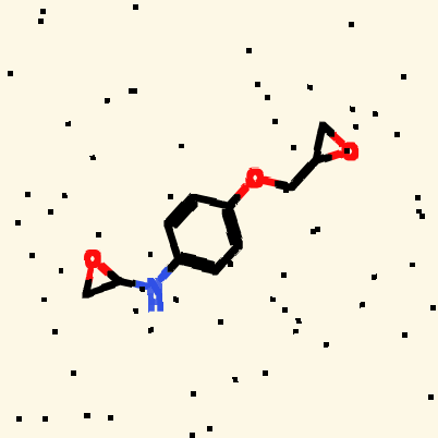 c1cc(OCC2CO2)ccc1NC1CO1